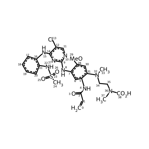 C=CC(=O)Nc1cc(Nc2ncc(Cl)c(Nc3ccccc3NS(C)(=O)=O)n2)c(OC)cc1N(C)CCN(C)C(=O)O